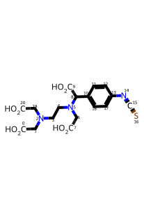 O=C(O)CN(CCN(CC(=O)O)C(C(=O)O)c1ccc(N=C=S)cc1)CC(=O)O